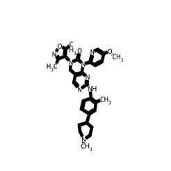 COc1ccc(N2C(=O)N(c3c(C)noc3C)Cc3cnc(Nc4ccc(C5CCN(C)CC5)cc4C)nc32)nc1